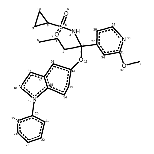 CCCC(NS(=O)(=O)C1CC1)(Oc1ccc2c(cnn2-c2ccccn2)c1)c1ccnc(OC)c1